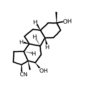 C[C@@]1(O)CC[C@H]2[C@H](CC[C@@H]3[C@@H]2C[C@@H](O)[C@]2(C)[C@@H](C#N)CC[C@@H]32)C1